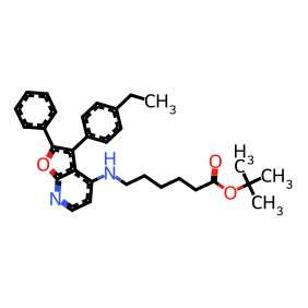 CCc1ccc(-c2c(-c3ccccc3)oc3nccc(NCCCCCC(=O)OC(C)(C)C)c23)cc1